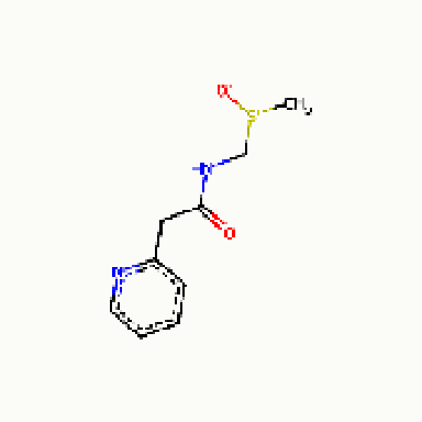 C[S+]([O-])CNC(=O)Cc1ccccn1